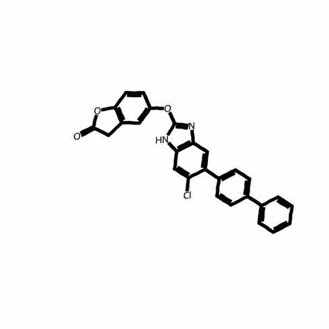 O=C1Cc2cc(Oc3nc4cc(-c5ccc(-c6ccccc6)cc5)c(Cl)cc4[nH]3)ccc2O1